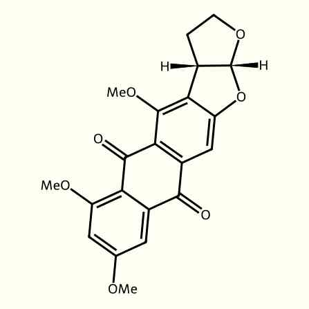 COc1cc(OC)c2c(c1)C(=O)c1cc3c(c(OC)c1C2=O)[C@@H]1CCO[C@@H]1O3